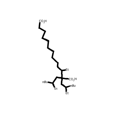 CCCCC(CC)CC(CC(CC)CCCC)(C(=O)O)C(CC)CCCCCCCCCC(=O)O